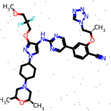 COCC(F)(F)COc1nn(C2CCC(N3CC(C)O[C@H](C)C3)CC2)cc1Nc1ncc(-c2ccc(C#N)c(O[C@@H](C)Cn3cnnn3)c2)cn1